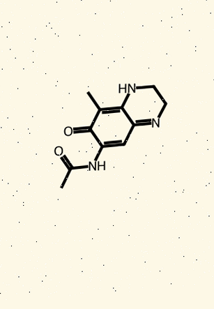 CC(=O)NC1=CC2=NCCNC2=C(C)C1=O